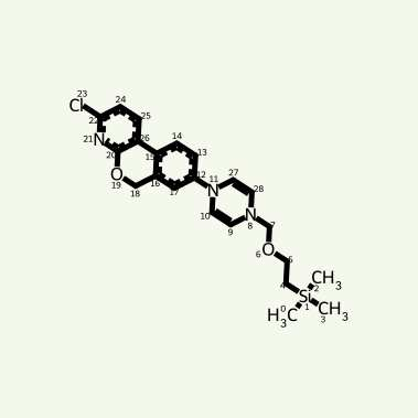 C[Si](C)(C)CCOCN1C=CN(c2ccc3c(c2)COc2nc(Cl)ccc2-3)C=C1